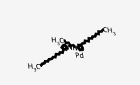 CCCCCCCCCCCCCCc1cccc(N=CC(CCCC)=Nc2cccc(CCCCCCCCCCCCCC)c2)c1.[Pd]